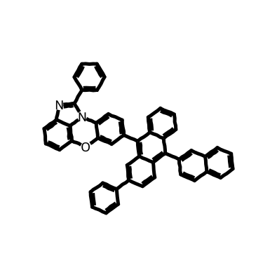 c1ccc(-c2ccc3c(-c4ccc5ccccc5c4)c4ccccc4c(-c4ccc5c(c4)Oc4cccc6nc(-c7ccccc7)n-5c46)c3c2)cc1